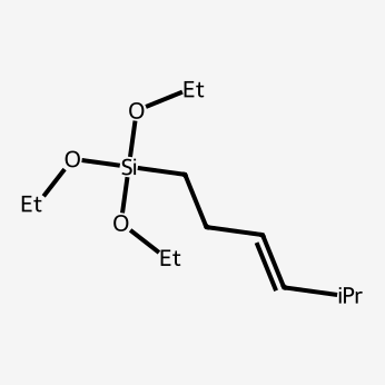 CCO[Si](CCC=CC(C)C)(OCC)OCC